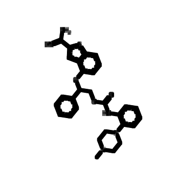 CN1CCN(c2ccccc2NC(=O)OCC(Oc2cccc3sc(C(=N)N)cc23)c2ccccc2)CC1